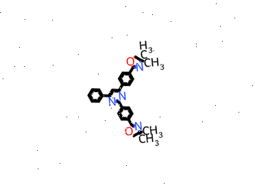 CC1(C)COC(c2ccc(-c3cc(-c4ccccc4)nc(-c4ccc(C5=NC(C)(C)CO5)cc4)n3)cc2)=N1